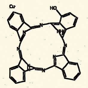 Oc1cccc2c3nc4nc(nc5[nH]c(nc6nc(nc([nH]3)c12)-c1ccccc1-6)c1ccccc51)-c1ccccc1-4.[Cu]